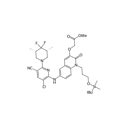 COC(=O)COc1cc2cc(Nc3nc(N4C[C@@H](C)C(F)(F)[C@@H](C)C4)c(C#N)cc3Cl)ccc2n(CCCO[Si](C)(C)C(C)(C)C)c1=O